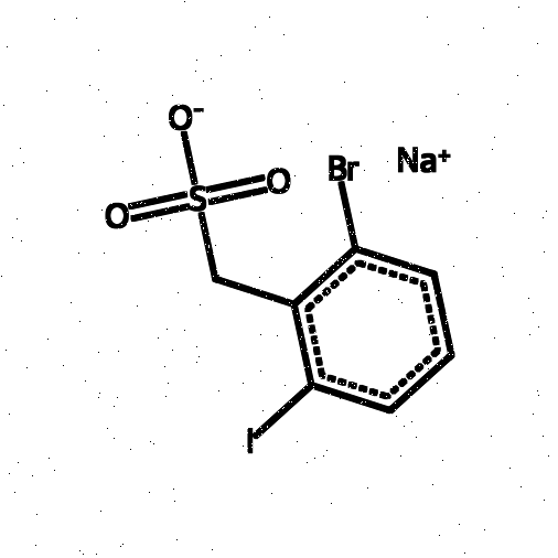 O=S(=O)([O-])Cc1c(Br)cccc1I.[Na+]